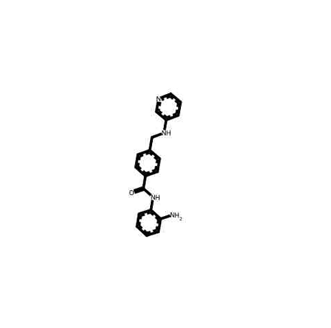 Nc1ccccc1NC(=O)c1ccc(CNc2cccnc2)cc1